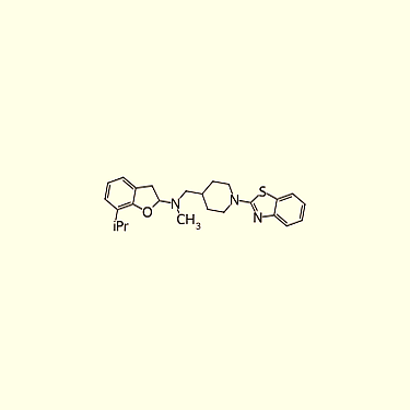 CC(C)c1cccc2c1OC(N(C)CC1CCN(c3nc4ccccc4s3)CC1)C2